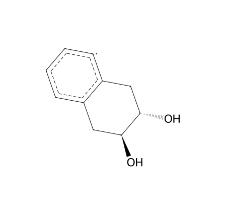 O[C@H]1Cc2[c]cccc2C[C@@H]1O